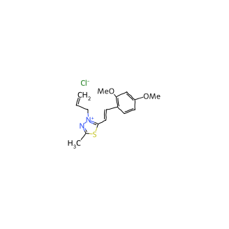 C=CC[n+]1nc(C)sc1/C=C/c1ccc(OC)cc1OC.[Cl-]